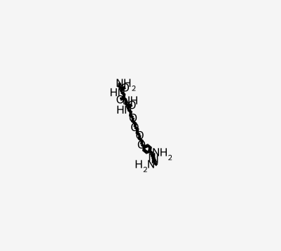 C/C(N)=N/N=C(\N)c1ccc(OCCOCCOCCOCCNC(=O)CNC(=O)CNC(=O)CN)cc1